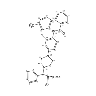 COC(=O)C(c1ccccc1)N1CCN(c2ccc(NC(=O)c3ccccc3-c3ccc(C(F)(F)F)cc3)c(C)c2)CC1